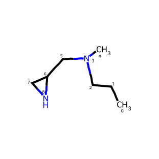 CCCN(C)CC1CN1